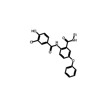 CCNC(=O)c1cc(Oc2ccccc2)ccc1NC(=O)c1ccc(O)c(Cl)c1